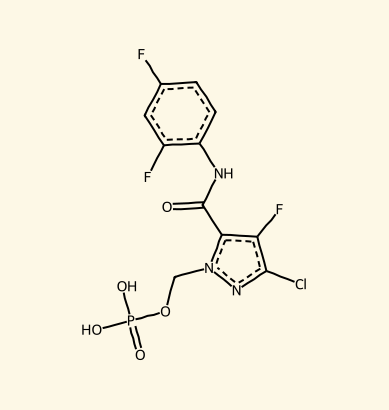 O=C(Nc1ccc(F)cc1F)c1c(F)c(Cl)nn1COP(=O)(O)O